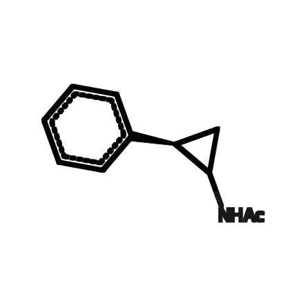 CC(=O)NC1C[C@@H]1c1ccccc1